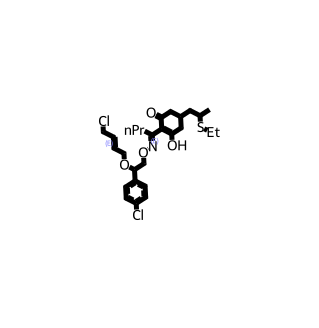 CCC/C(=N\OCC(OC/C=C/CCl)c1ccc(Cl)cc1)C1=C(O)CC(CC(C)SCC)CC1=O